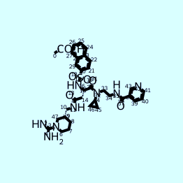 CC(=O)O.N=C(N)N1CCC[C@@H](CNC(=O)C[C@H](NS(=O)(=O)c2ccc3ccccc3c2)C(=O)N(CCNC(=O)c2cccnc2)C2CC2)C1